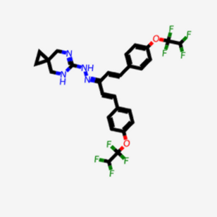 FC(F)C(F)(F)Oc1ccc(C=CC(C=Cc2ccc(OC(F)(F)C(F)F)cc2)=NNC2=NCC3(CC3)CN2)cc1